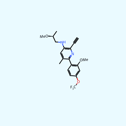 C#Cc1nc(-c2ccc(OC(F)(F)F)cc2OC)c(C)cc1NC[C@H](C)OC